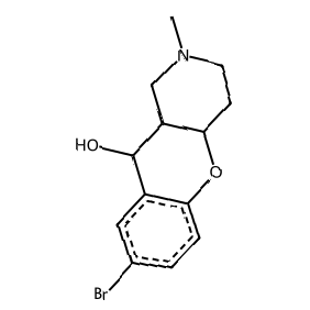 CN1CCC2Oc3ccc(Br)cc3C(O)C2C1